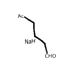 CC(=O)CCCC=O.[NaH]